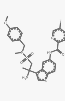 COc1ccc(CN(C)S(=O)(=O)CC(C)(N)c2csc3ccc(NC(=O)c4ccc(F)cn4)cc23)cc1